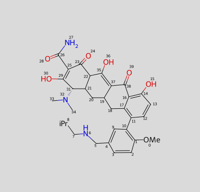 COc1ccc(CNCC(C)C)cc1-c1ccc(O)c2c1CC1CC3C(C(=O)C(C(N)=O)=C(O)[C@H]3N(C)C)C(O)=C1C2=O